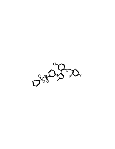 Cc1ccc(-c2cc(Cl)ccc2OCc2ccc(F)cc2F)n1-c1cccc(C(=O)NS(=O)(=O)c2ccccc2)c1